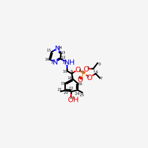 CCOP(=O)(OCC)OC(CNc1cnccn1)c1cc(C)c(O)c(C)c1